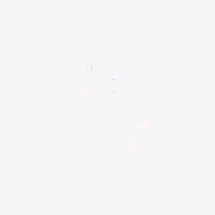 CN[C@H](CCC(=O)O)C(=O)C(C)C